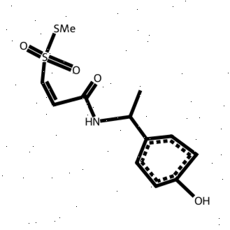 CSS(=O)(=O)/C=C\C(=O)NC(C)c1ccc(O)cc1